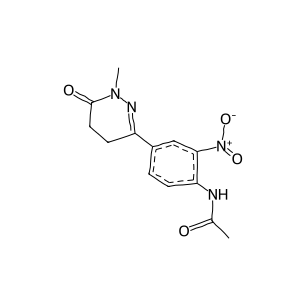 CC(=O)Nc1ccc(C2=NN(C)C(=O)CC2)cc1[N+](=O)[O-]